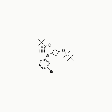 CC(C)(C)[S@@+]([O-])N[C@@H](c1cccc(Br)n1)C1CC(O[Si](C)(C)C(C)(C)C)C1